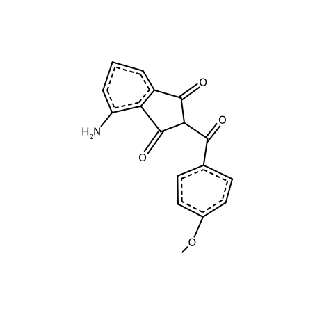 COc1ccc(C(=O)C2C(=O)c3cccc(N)c3C2=O)cc1